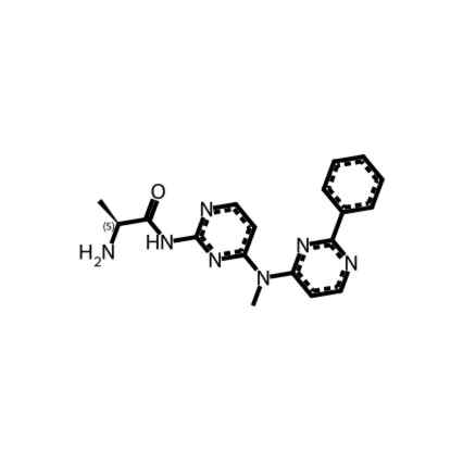 C[C@H](N)C(=O)Nc1nccc(N(C)c2ccnc(-c3ccccc3)n2)n1